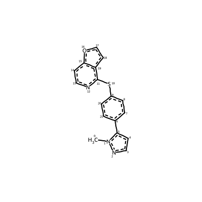 Cn1nccc1-c1ccc(Sc2nccc3occc23)cc1